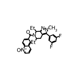 CCC1Cc2c(nn(C)c2-c2cc(F)cc(F)c2)C(CC)N1C(=O)c1ccc2c(ccc[n+]2[O-])c1